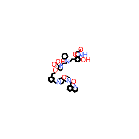 O=C1COc2c(CCN(CCN3CCC(OCCc4cccc(CN5CCC6(CC5)CN(C(=O)c5cccc7cccnc57)CCO6)c4)[C@H]3C(=O)O)C3CCCCC3)ccc(O)c2N1